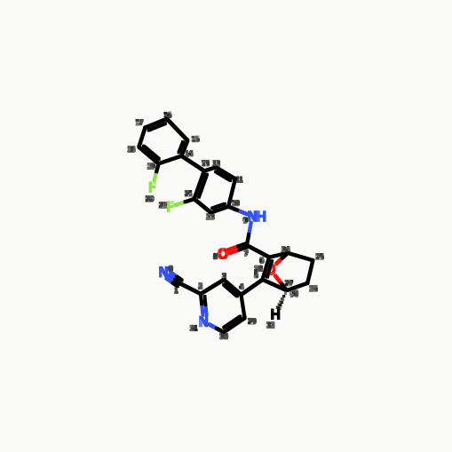 N#Cc1cc(C2=C(C(=O)Nc3ccc(-c4ccccc4F)c(F)c3)C3CC[C@@H]2O3)ccn1